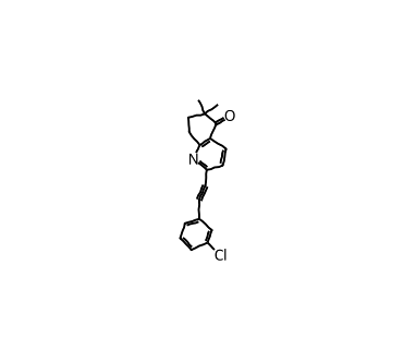 CC1(C)CCc2nc(C#Cc3cccc(Cl)c3)ccc2C1=O